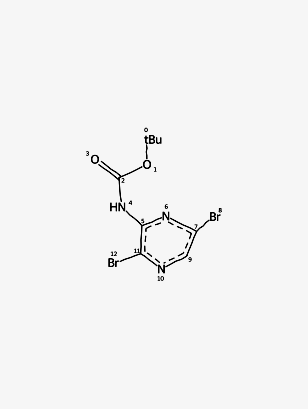 CC(C)(C)OC(=O)Nc1nc(Br)cnc1Br